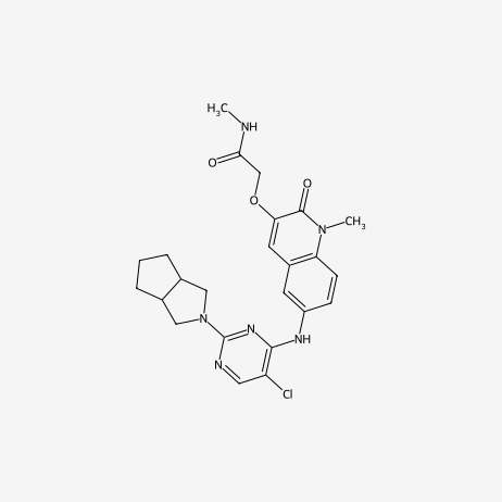 CNC(=O)COc1cc2cc(Nc3nc(N4CC5CCCC5C4)ncc3Cl)ccc2n(C)c1=O